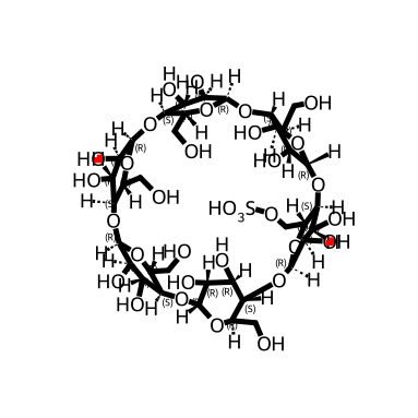 O=S(=O)(O)OC[C@H]1O[C@@H]2O[C@H]3[C@H](O)[C@@H](O)[C@@H](O[C@H]4[C@H](O)[C@@H](O)[C@@H](O[C@H]5[C@H](O)[C@@H](O)[C@@H](O[C@H]6[C@H](O)[C@@H](O)[C@@H](O[C@H]7[C@H](O)[C@@H](O)[C@@H](O[C@H]1[C@H](O)[C@H]2O)O[C@@H]7CO)O[C@@H]6CO)O[C@@H]5CO)O[C@@H]4CO)O[C@@H]3CO